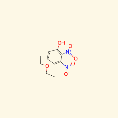 CCOCC.O=[N+]([O-])c1cccc(O)c1[N+](=O)[O-]